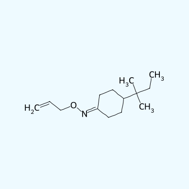 C=CCON=C1CCC(C(C)(C)CC)CC1